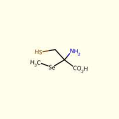 C[Se]C(N)(CS)C(=O)O